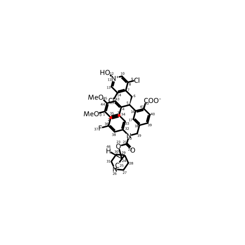 COc1ccc([C@@H](Cc2c(Cl)c[n+](O)cc2Cl)c2cc(CN(C(=O)O[C@H]3CN4CCC3CC4)c3cccc(F)c3)ccc2C(=O)[O-])cc1OC